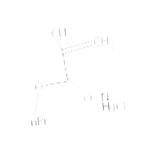 C=C(C)C(=O)OCCC.Cl.N